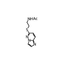 CC(=O)NCCSc1ccc2nccn2n1